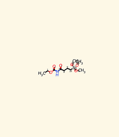 CCOC(=O)NC(=O)CCC[Si](OC)(OC)OC